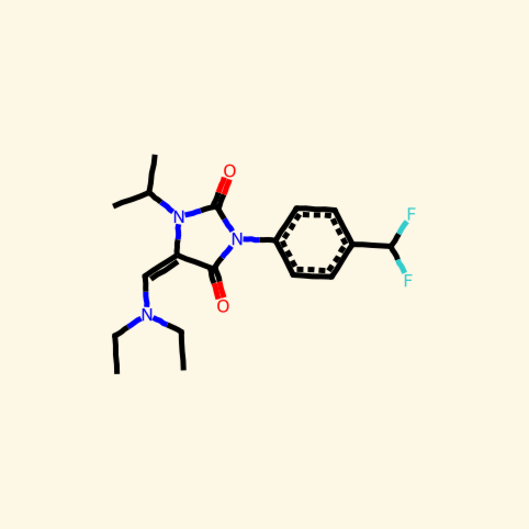 CCN(C=C1C(=O)N(c2ccc(C(F)F)cc2)C(=O)N1C(C)C)CC